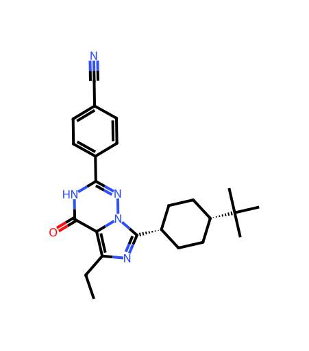 CCc1nc([C@H]2CC[C@@H](C(C)(C)C)CC2)n2nc(-c3ccc(C#N)cc3)[nH]c(=O)c12